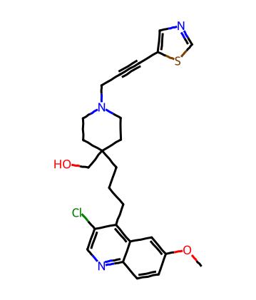 COc1ccc2ncc(Cl)c(CCCC3(CO)CCN(CC#Cc4cncs4)CC3)c2c1